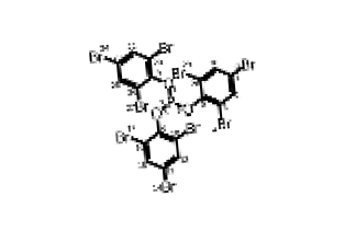 Brc1cc(Br)c(OP(Oc2c(Br)cc(Br)cc2Br)Oc2c(Br)cc(Br)cc2Br)c(Br)c1